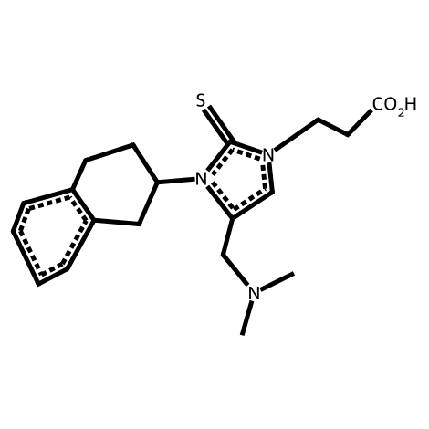 CN(C)Cc1cn(CCC(=O)O)c(=S)n1C1CCc2ccccc2C1